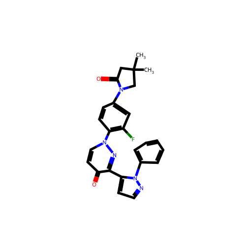 CC1(C)CC(=O)N(c2ccc(-n3ccc(=O)c(-c4ccnn4-c4ccccc4)n3)c(F)c2)C1